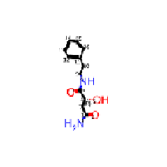 NC(=O)C[C@@H](O)C(=O)NCCc1ccccc1